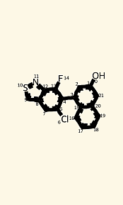 Oc1cc(-c2c(Cl)cc3csnc3c2F)c2ccccc2c1